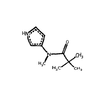 CN(C(=O)C(C)(C)C)c1cc[nH]c1